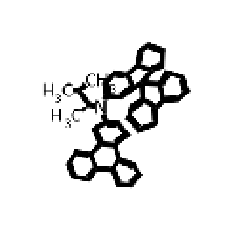 CC(C)[C@H](C)N(c1ccc2c(c1)C1(c3ccccc3-c3ccccc31)c1ccccc1-2)c1ccc2c3ccccc3c3ccccc3c2c1